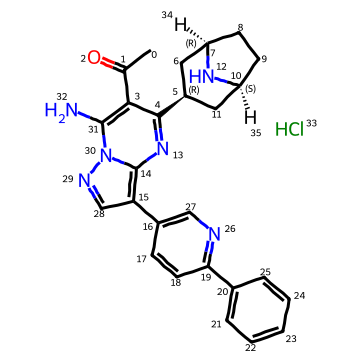 CC(=O)c1c([C@H]2C[C@H]3CC[C@@H](C2)N3)nc2c(-c3ccc(-c4ccccc4)nc3)cnn2c1N.Cl